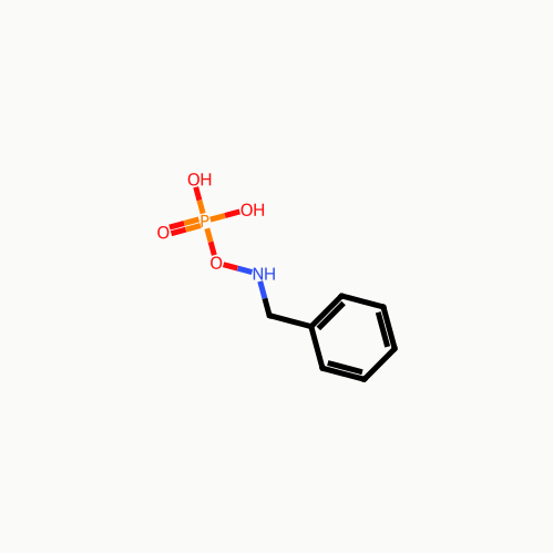 O=P(O)(O)ONCc1ccccc1